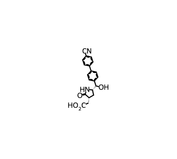 N#Cc1ccc(-c2ccc(C(O)[C@@H]3C[C@H](CC(=O)O)C(=O)N3)cc2)cc1